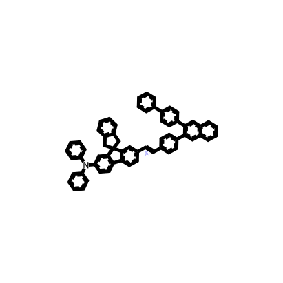 C(=C\c1ccc2c(c1)C1(Cc3ccccc3C1)c1cc(N(c3ccccc3)c3ccccc3)ccc1-2)/c1ccc(-c2cc3ccccc3cc2-c2ccc(-c3ccccc3)cc2)cc1